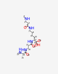 CNCCC(=O)NCCCC[C@H](NC(=O)CCNC(=O)[C@H](C)NC)C(=O)O